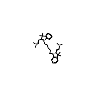 CN(C)/C=C/C1=[N+](CCCCC[N+]2=C(/C=C/N(C)C)C(C)(C)c3ccccc32)c2ccccc2C1(C)C